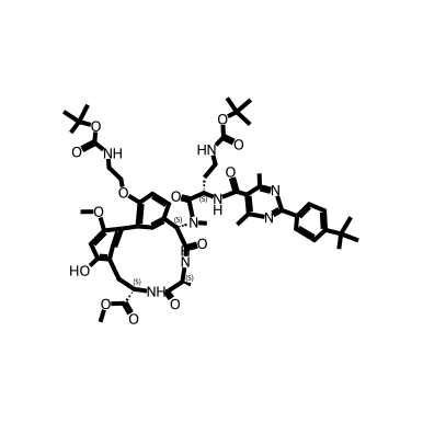 COC(=O)[C@@H]1Cc2cc(c(OC)cc2O)-c2cc(ccc2OCCNC(=O)OC(C)(C)C)[C@H](N(C)C(=O)[C@H](CCNC(=O)OC(C)(C)C)NC(=O)c2c(C)nc(-c3ccc(C(C)(C)C)cc3)nc2C)C(=O)N[C@@H](C)C(=O)N1